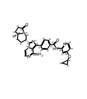 Nc1nccn2c([C@@H]3CC[C@H]4CCC(=O)N4C3)nc(-c3ccc(C(=O)Nc4cc(OC5CC5)ccn4)cc3)c12